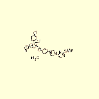 CSc1nccc(N2CCN(c3ccc(OCC4COC(Cn5ccnc5)(c5ccc(Cl)cc5Cl)O4)cc3)CC2)n1.O